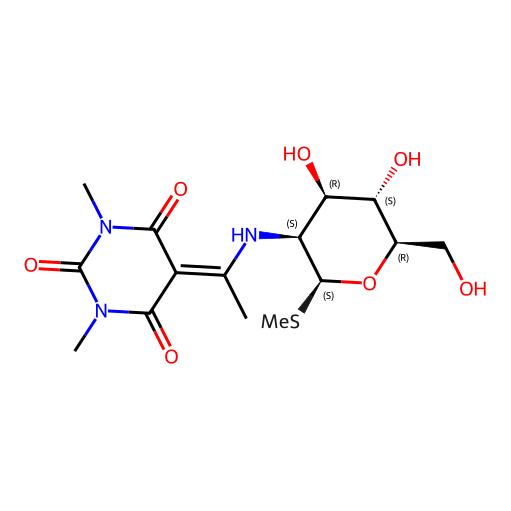 CS[C@@H]1O[C@H](CO)[C@@H](O)[C@H](O)[C@@H]1NC(C)=C1C(=O)N(C)C(=O)N(C)C1=O